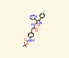 CC(C)(C)OC(=O)Nc1ccc(CC(=O)Nc2onc(-c3ccc(F)cc3)c2-c2ccncn2)cc1